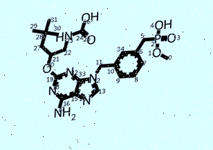 COP(=O)(O)Cc1cccc(Cn2cnc3c(N)nc(OC(CNC(=O)O)CC(C)(C)C)nc32)c1